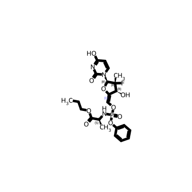 CCCOC(=O)[C@H](C)NP(=O)(O/C=C1/O[C@@H](n2ccc(O)nc2=O)[C@](C)(F)[C@@H]1O)Oc1ccccc1